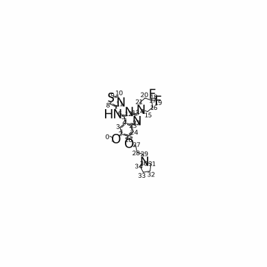 COc1cc2c(Nc3cscn3)nc(N3CCC(F)(F)CC3)nc2cc1OCCCN1CCCC1